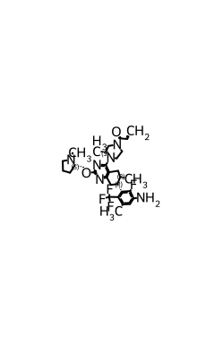 C=CC(=O)N1CCN(c2nc(OC[C@@H]3CCCN3C)nc3c2C[C@@H](C)[C@H](c2c(F)c(N)cc(C)c2C(F)(F)F)C3)[C@@H](C)C1